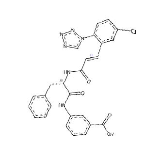 O=C(/C=C/c1cc(Cl)ccc1-n1cnnn1)N[C@@H](Cc1ccccc1)C(=O)Nc1cccc(C(=O)O)c1